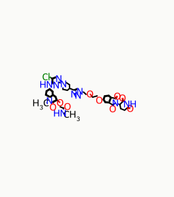 CNC(=O)COc1cc2cc(Nc3nc(N4CCC(c5cn(CCOCCOc6ccc7c(c6)C(=O)N(C6CCC(=O)NC6=O)C7=O)nn5)CC4)ncc3Cl)ccc2n(C)c1=O